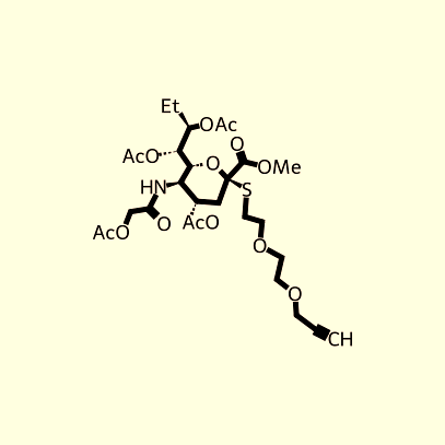 C#CCOCCOCCS[C@@]1(C(=O)OC)C[C@H](OC(C)=O)[C@@H](NC(=O)COC(C)=O)[C@H]([C@H](OC(C)=O)[C@@H](CC)OC(C)=O)O1